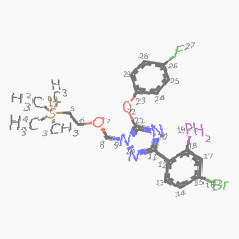 C[SH](C)(C)(C)CCOCn1nc(-c2ccc(Br)cc2P)nc1Oc1ccc(F)cc1